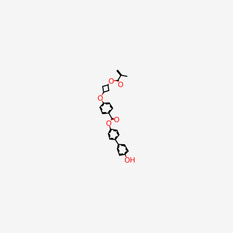 C=C(C)C(=O)OC1CC(Oc2ccc(C(=O)Oc3ccc(-c4ccc(O)cc4)cc3)cc2)C1